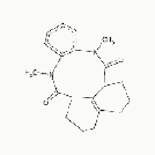 CN1C(=O)C2CCCC3=C2C(CCC3)C(=O)N(C)c2ccccc21